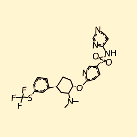 CN(C)[C@H]1C[C@@H](c2cccc(SC(F)(F)F)c2)CC[C@@H]1Oc1ccc(S(=O)(=O)Nc2ccncn2)cn1